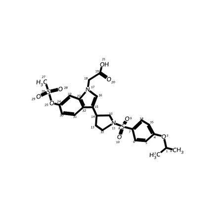 CC(C)Oc1ccc(S(=O)(=O)N2CCC(c3cn(CC(=O)O)c4cc(OS(C)(=O)=O)ccc34)C2)cc1